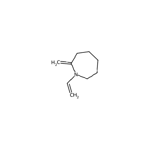 C=CN1CCCCCC1=C